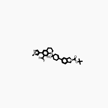 Cn1cc(-c2cc3c(cc2C(F)F)N(C2(O)CC=C(c4ccc5c(c4)CN(C(=O)OC(C)(C)C)C5)CC2)CCC3)cn1